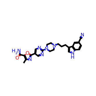 Cc1nc(-c2cnc(N3CCN(CCCc4c[nH]c5ccc(C#N)cc45)CC3)nc2)oc1C(N)=O